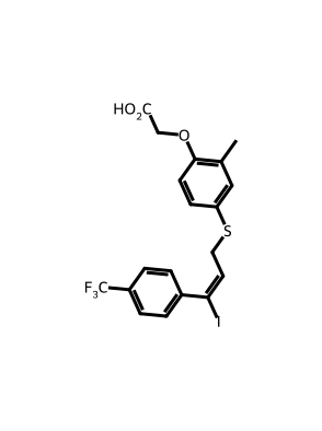 Cc1cc(SC/C=C(/I)c2ccc(C(F)(F)F)cc2)ccc1OCC(=O)O